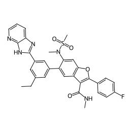 CCc1cc(-c2nc3cccnc3[nH]2)cc(-c2cc3c(C(=O)NC)c(-c4ccc(F)cc4)oc3cc2N(C)S(C)(=O)=O)c1